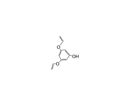 C=COc1cc(O)cc(OC=C)c1